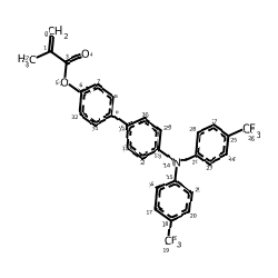 C=C(C)C(=O)Oc1ccc(-c2ccc(N(c3ccc(C(F)(F)F)cc3)c3ccc(C(F)(F)F)cc3)cc2)cc1